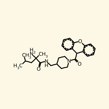 CC(C)CC(C)(N)C(=O)NCC1CCN(C(=O)C2c3ccccc3Oc3ccccc32)CC1